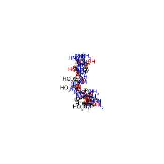 CC(C)C[C@H](NC(=O)[C@H](CC(C)C)NC(=O)[C@H](CC(=O)O)NC(=O)[C@H](CCC(=O)O)NC(=O)[C@@H](NC(=O)[C@H](Cc1ccccc1)NC(=O)[C@H](CO)NC(=O)[C@H](CCCNC(=N)N)NC(=O)[C@H](CCCCN)NC(=O)[C@@H](N)CO)C(C)C)C(=O)N[C@@H](Cc1ccccc1)C(=O)N[C@@H](CC(N)=O)C(=O)N[C@@H](CCCCN)C(=O)N[C@H](C(=O)N[C@H](C(=O)O)[C@@H](C)O)[C@@H](C)O